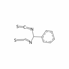 S=C=NC(N=C=S)c1ccccc1